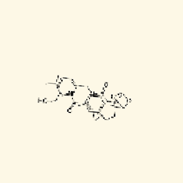 CC(C)C(CO)NC(=O)c1ccc2c(c1)CCC21OC2OC1N2CC(=O)N(Cc1ccccc1)C(C)C1CC1